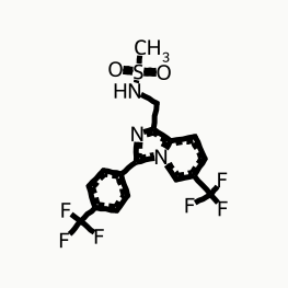 CS(=O)(=O)NCc1nc(-c2ccc(C(F)(F)F)cc2)n2cc(C(F)(F)F)ccc12